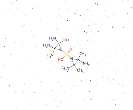 CC1(N)N(P(=O)(O)N2C(N)(N)C2(N)O)C1(C)N